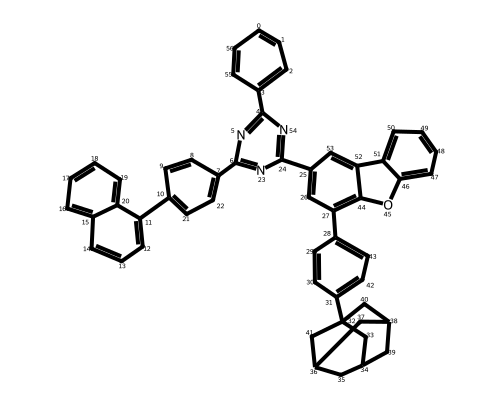 c1ccc(-c2nc(-c3ccc(-c4cccc5ccccc45)cc3)nc(-c3cc(-c4ccc(C56CC7CC(CC(C7)C5)C6)cc4)c4oc5ccccc5c4c3)n2)cc1